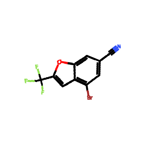 N#Cc1cc(Br)c2cc(C(F)(F)F)oc2c1